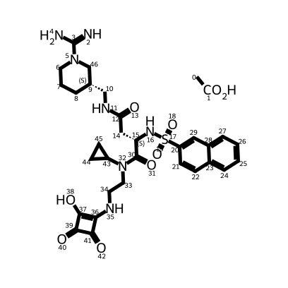 CC(=O)O.N=C(N)N1CCC[C@@H](CNC(=O)C[C@H](NS(=O)(=O)c2ccc3ccccc3c2)C(=O)N(CCNc2c(O)c(=O)c2=O)C2CC2)C1